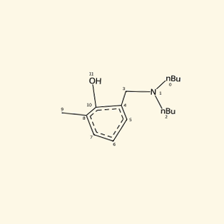 CCCCN(CCCC)Cc1cccc(C)c1O